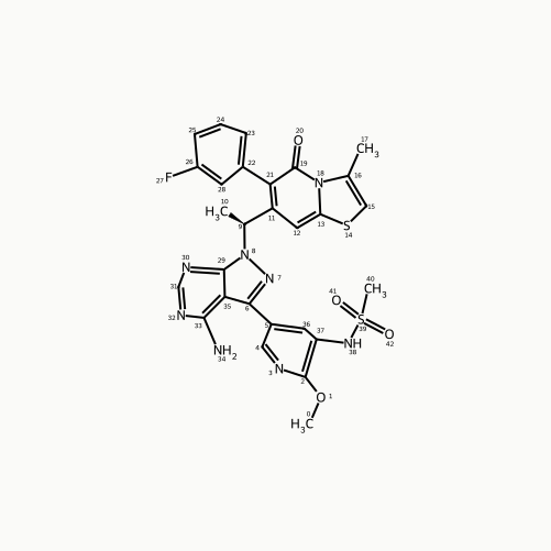 COc1ncc(-c2nn([C@@H](C)c3cc4scc(C)n4c(=O)c3-c3cccc(F)c3)c3ncnc(N)c23)cc1NS(C)(=O)=O